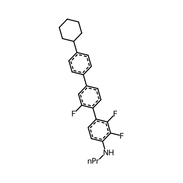 CCCNc1ccc(-c2ccc(-c3ccc(C4CCCCC4)cc3)cc2F)c(F)c1F